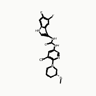 CO[C@@H]1CCCN(c2ncc(NC(=O)Nc3c[nH]c4cc(F)c(F)cc34)cc2Cl)C1